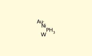 P.[Au].[Ni].[W]